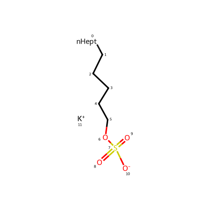 CCCCCCCCCCCCOS(=O)(=O)[O-].[K+]